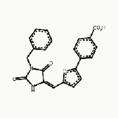 O=C(O)c1ccc(-c2ccc(C=C3NC(=O)N(Cc4ccccc4)C3=O)o2)cc1